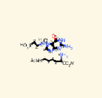 CC(=O)NCCCCC(N)C(=O)O.Cn1cnc2nc(N)[nH]c(=O)c21.NCCS(=O)(=O)O